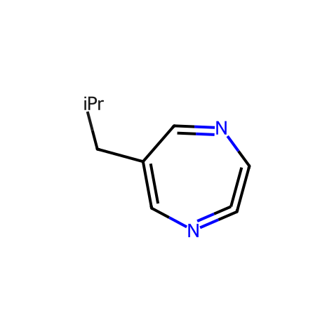 CC(C)CC1=CN=C=CN=C1